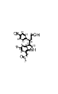 C[S+]([O-])Cc1cc(F)cc2c(C(CCO)c3ccc(Cl)cc3)c[nH]c12